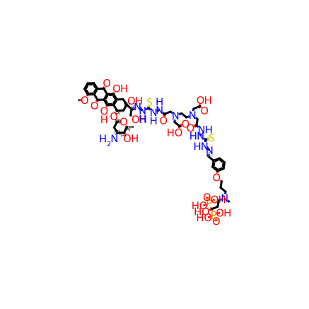 COc1cccc2c1C(=O)c1c(O)c3c(c(O)c1C2=O)C[C@@](O)(/C(CO)=N/NC(=S)NNC(=O)CN(CCN(CC(=O)O)CC(=O)NNC(=S)N/N=C/c1cccc(OCCCN(C)CCC(O)(P(=O)(O)O)P(=O)(O)O)c1)CC(=O)O)C[C@@H]3O[C@H]1C[C@H](N)[C@H](O)[C@H](C)O1